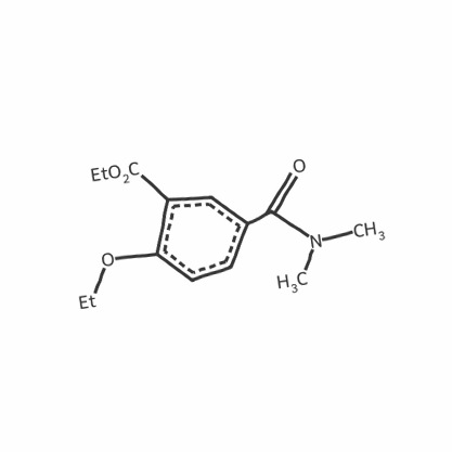 CCOC(=O)c1cc(C(=O)N(C)C)ccc1OCC